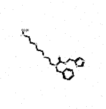 O=C(O)NCCOCCOCCN(Cc1ccccc1)C(=O)OCc1cncs1